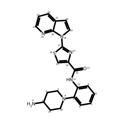 NC1CCN(c2ccccc2NC(=O)c2csc(-n3ccc4cccnc43)n2)CC1